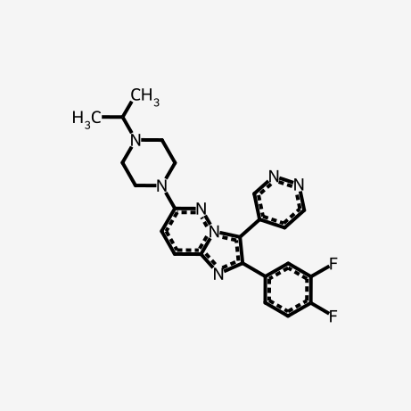 CC(C)N1CCN(c2ccc3nc(-c4ccc(F)c(F)c4)c(-c4ccnnc4)n3n2)CC1